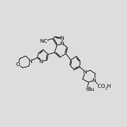 CC(C)(C)C1CN(c2ccc(-c3cc(-c4ccc(N5CCOCC5)nc4)c4c(C#N)cnn4c3)cc2)CCN1C(=O)O